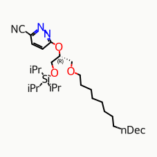 CCCCCCCCCCCCCCCCCCOC[C@H](CO[Si](C(C)C)(C(C)C)C(C)C)Oc1ccc(C#N)nn1